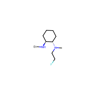 CCN[C@H]1CCCC[C@@H]1N(C)CCF